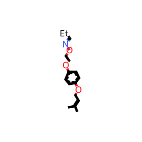 CCC=NOCCOc1ccc(OCC=C(C)C)cc1